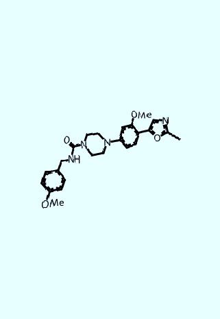 COc1ccc(CNC(=O)N2CCN(c3ccc(-c4cnc(C)o4)c(OC)c3)CC2)cc1